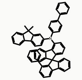 CC1(C)c2ccccc2-c2ccc(N(c3ccc(-c4ccccc4)cc3)c3cccc4c3-c3ccccc3C43c4ccccc4-c4cccc(-c5ccccc5)c43)cc21